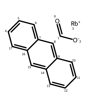 O=C[O-].[Rb+].c1ccc2cc3ccccc3cc2c1